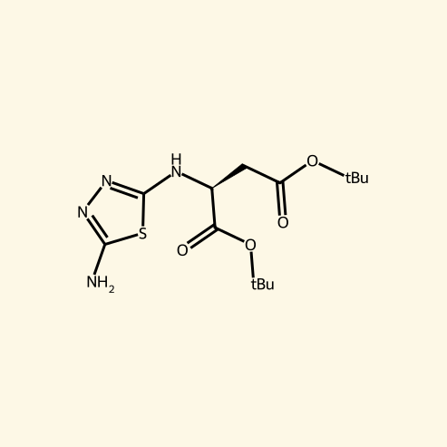 CC(C)(C)OC(=O)C[C@H](Nc1nnc(N)s1)C(=O)OC(C)(C)C